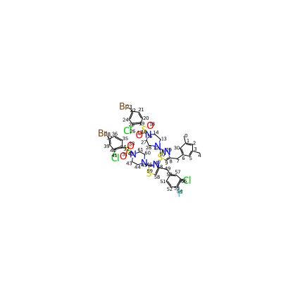 Cc1cc(C)cc(Cc2csc(N3CCN(S(=O)(=O)c4ccc(Br)cc4Cl)CC3)n2)c1.O=S(=O)(c1ccc(Br)cc1Cl)N1CCN(c2nc(Cc3ccc(F)c(Cl)c3)cs2)CC1